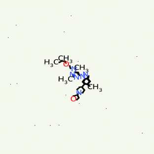 CCC(C)COCCN(C)c1cc(-n2ncc3cc(C)c(C4CCN(C5CCOC5)CC4)cc32)nc(C)n1